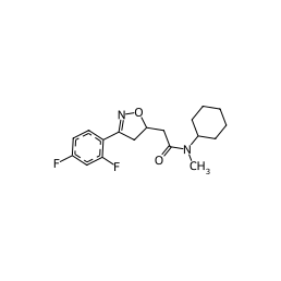 CN(C(=O)CC1CC(c2ccc(F)cc2F)=NO1)C1CCCCC1